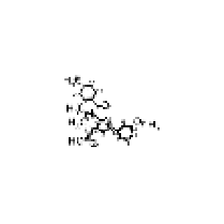 COc1cccc(-n2cc(OC(=O)O)c(N(C(=O)[C@H]3CC[C@H](C)CC3)C(C)C)n2)c1